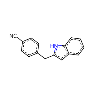 N#Cc1ccc(Cc2cc3ccccc3[nH]2)cc1